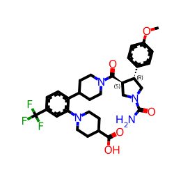 COc1ccc([C@@H]2CN(C(N)=O)C[C@H]2C(=O)N2CCC(c3ccc(C(F)(F)F)cc3N3CCC(C(=O)O)CC3)CC2)cc1